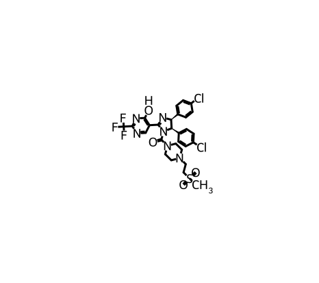 CS(=O)(=O)CCN1CCN(C(=O)N2C(c3cnc(C(F)(F)F)nc3O)=N[C@@H](c3ccc(Cl)cc3)[C@H]2c2ccc(Cl)cc2)CC1